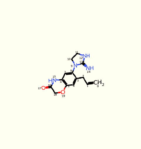 C=CCc1cc2c(cc1N1CCNC1=N)NC(=O)CO2